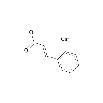 O=C([O-])C=Cc1ccccc1.[Cs+]